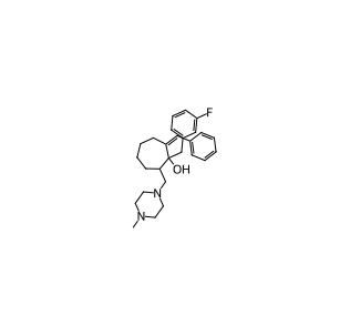 CN1CCN(CC2CCCCC(=Cc3ccccc3)C2(O)Cc2cccc(F)c2)CC1